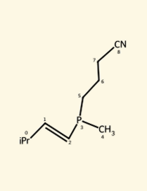 CC(C)/C=C/P(C)CCCC#N